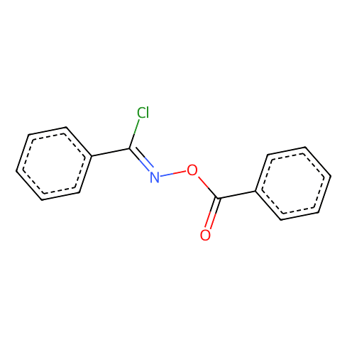 O=C(O/N=C(\Cl)c1ccccc1)c1ccccc1